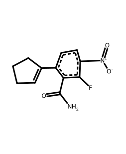 NC(=O)c1c(C2=CCCC2)ccc([N+](=O)[O-])c1F